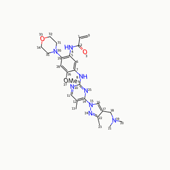 C=CC(=O)Nc1cc(Nc2ncc(C)c(-n3cc(CN(C)C)c(C)n3)n2)c(OC)cc1N1CCOCC1